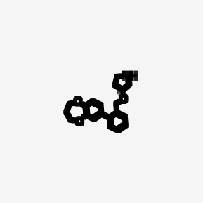 c1ccc(-c2ccc3c(c2)OCCCO3)c(CO[C@H]2CCNC2)c1